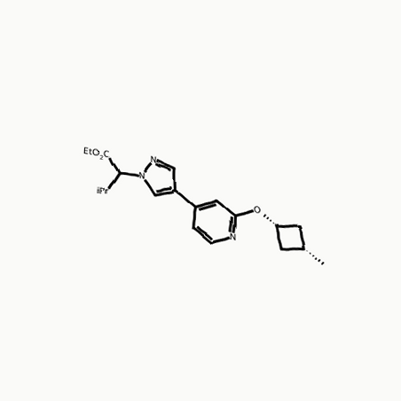 CCOC(=O)C(C(C)C)n1cc(-c2ccnc(O[C@H]3C[C@@H](C)C3)c2)cn1